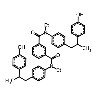 CCN(C(=O)c1cccc(C(=O)N(CC)c2ccc(CC(C)c3ccc(O)cc3)cc2)c1)c1ccc(CC(C)c2ccc(O)cc2)cc1